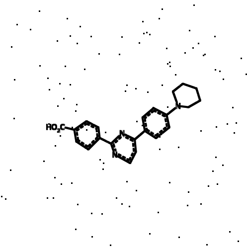 O=C(O)c1ccc(-c2nccc(-c3ccc(N4CCCCC4)cc3)n2)cc1